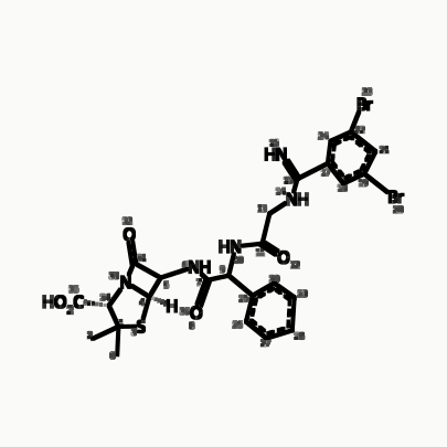 CC1(C)S[C@@H]2C(NC(=O)C(NC(=O)CNC(=N)c3cc(Br)cc(Br)c3)c3ccccc3)C(=O)N2[C@H]1C(=O)O